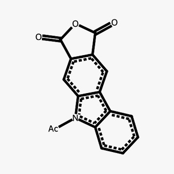 CC(=O)n1c2ccccc2c2cc3c(cc21)C(=O)OC3=O